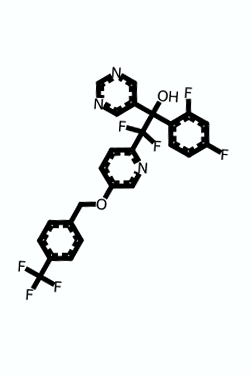 OC(c1cncnc1)(c1ccc(F)cc1F)C(F)(F)c1ccc(OCc2ccc(C(F)(F)F)cc2)cn1